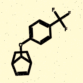 FC(F)(F)c1ccc(OC2C3C=CC2CC3)cc1